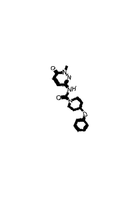 Cn1nc(NC(=O)N2CCC(Oc3ccccc3)CC2)ccc1=O